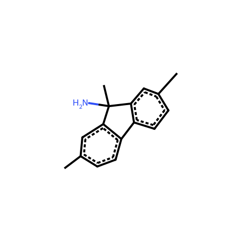 Cc1ccc2c(c1)C(C)(N)c1cc(C)ccc1-2